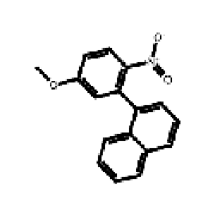 COc1ccc([N+](=O)[O-])c(-c2cccc3ccccc23)c1